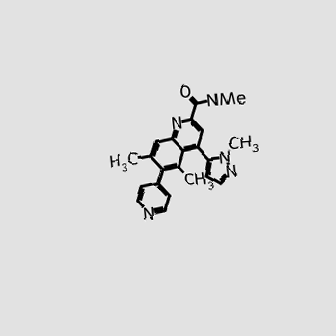 CNC(=O)c1cc(-c2ccnn2C)c2c(C)c(-c3ccncc3)c(C)cc2n1